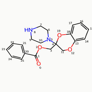 O=C(OCC1(N2CCNCC2)COc2ccccc2O1)c1ccccc1